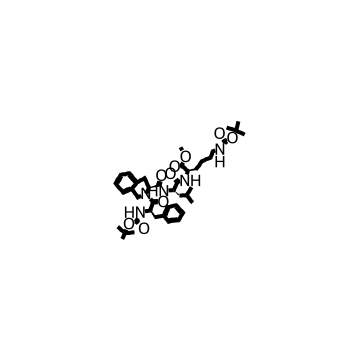 COC(=O)[C@@H](CCCCNC(=O)OC(C)(C)C)NC(=O)[C@H](CC(C)C)NC(=O)[C@@H]1Cc2ccccc2CN1C(=O)[C@@H](Cc1ccccc1)NC(=O)OC(C)(C)C